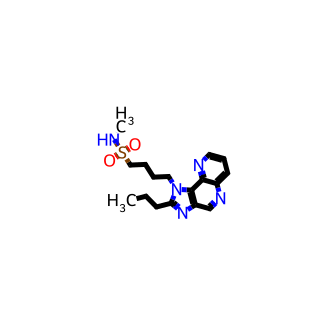 CCCc1nc2cnc3cccnc3c2n1CCCCS(=O)(=O)NC